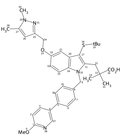 COc1ccc(-c2ccc(Cn3c(CC(C)(C)C(=O)O)c(SC(C)(C)C)c4cc(OCc5cc(C)n(C)n5)ccc43)cc2)cn1